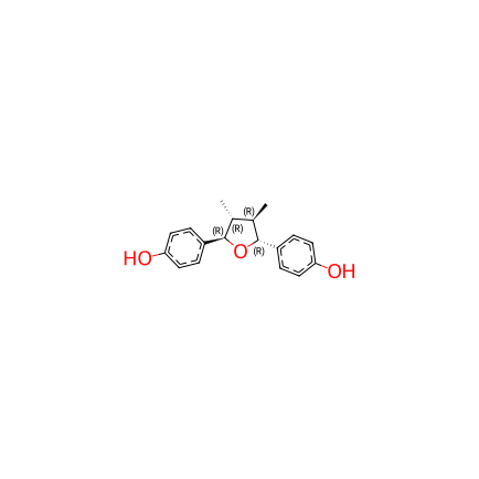 C[C@@H]1[C@@H](C)[C@H](c2ccc(O)cc2)O[C@H]1c1ccc(O)cc1